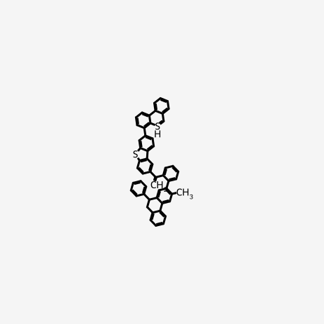 C=C(c1ccc2sc3cc(-c4cccc5c4[SH]=Cc4ccccc4-5)ccc3c2c1)c1ccccc1-c1cc2c(cc1C)-c1ccccc1CC2c1ccccc1